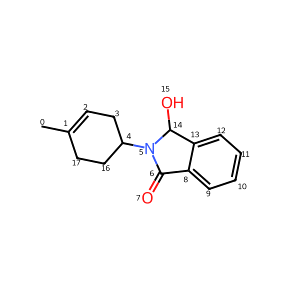 CC1=CCC(N2C(=O)c3ccccc3C2O)CC1